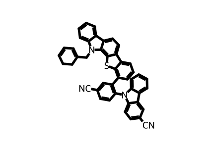 N#Cc1ccc(-n2c3ccccc3c3cc(C#N)ccc32)c(-c2cccc3c2sc2c3ccc3c4ccccc4n(CC4=CC=CCC4)c32)c1